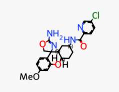 COc1ccc2c(c1)O[C@H]1CC[C@H](NC(=O)c3ccc(Cl)cn3)C[C@@H]1C21COC(N)=N1